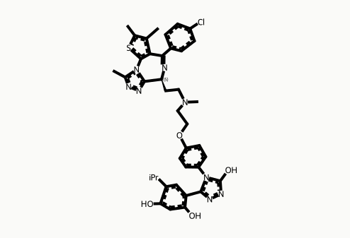 Cc1sc2c(c1C)C(c1ccc(Cl)cc1)=N[C@@H](CCN(C)CCOc1ccc(-n3c(O)nnc3-c3cc(C(C)C)c(O)cc3O)cc1)c1nnc(C)n1-2